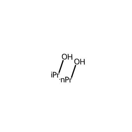 CC(C)O.CC[CH]O